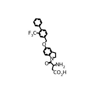 NC(CC(=O)O)C(=O)N1CCc2cc(OCc3ccc(-c4ccccc4)c(C(F)(F)F)c3)ccc21